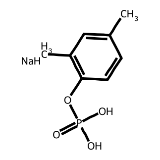 Cc1ccc(OP(=O)(O)O)c(C)c1.[NaH]